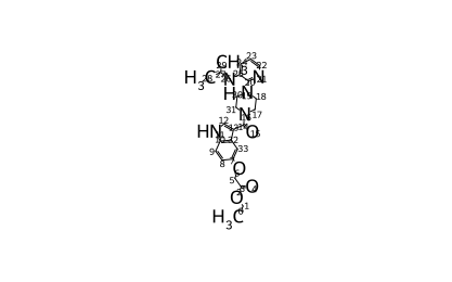 CCOC(=O)COc1ccc2[nH]cc(C(=O)N3CCN(c4ncccc4NC(C)C)CC3)c2c1